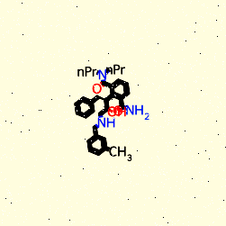 CCCN(CCC)C(=O)c1cccc(C(N)=O)c1[C@H](Cc1ccccc1)[C@@H](O)CNCc1cccc(C)c1